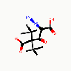 CC(C)(C)C(C(=O)[O-])(C(=O)C(=[N+]=N)C(=O)O)C(C)(C)C